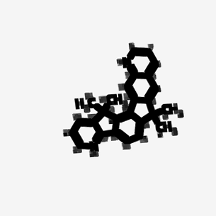 CC1(C)c2cc3cccnc3cc2-c2c1ccc1c2C(C)(C)c2cccnc2-1